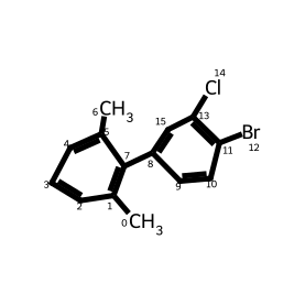 Cc1cccc(C)c1-c1ccc(Br)c(Cl)c1